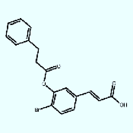 O=C(O)/C=C/c1ccc(Br)c(OC(=O)CCc2ccccc2)c1